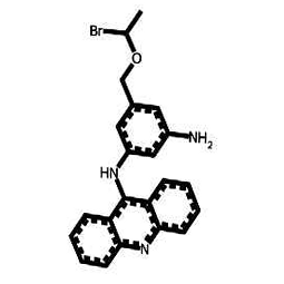 CC(Br)OCc1cc(N)cc(Nc2c3ccccc3nc3ccccc23)c1